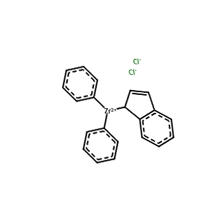 C1=C[CH]([Zr+2]([c]2ccccc2)[c]2ccccc2)c2ccccc21.[Cl-].[Cl-]